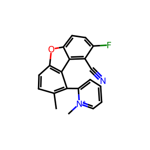 Cc1ccc2oc3ccc(F)c(C#N)c3c2c1-c1cccc[n+]1C